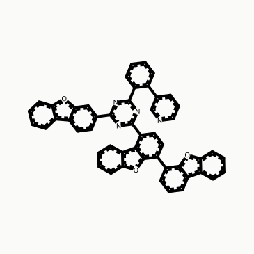 c1cncc(-c2ccccc2-c2nc(-c3ccc4c(c3)oc3ccccc34)nc(-c3ccc(-c4cccc5c4oc4ccccc45)c4oc5ccccc5c34)n2)c1